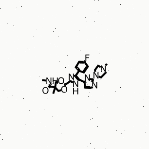 CNC(=O)C1(C)COC(c2nc(-c3ccc(F)cc3)c(-c3ccnc(N4CCN(C)CC4)n3)[nH]2)OC1